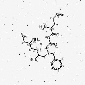 CCC(C)C(CN(Cc1ccccc1)[C@H](C)C(=O)OC(=O)[C@@H](N)CCSC)NC[C@H](N)CS